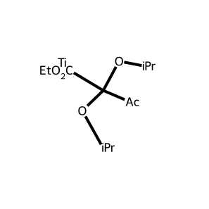 CCOC(=O)C(OC(C)C)(OC(C)C)C(C)=O.[Ti]